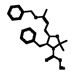 CC(=CC[C@H]1OC(C)(C)N(C(=O)OC(C)(C)C)[C@H]1Cc1ccccc1)OCc1ccccc1